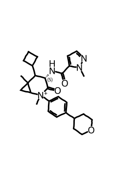 Cn1nccc1C(=O)N[C@@H]1C(=O)[N+](C)(c2ccc(C3CCOCC3)cc2)C2CC2(C)C1C1CCC1